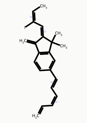 C=C/C=C\C=C\c1ccc2c(c1)C(C)(C)/C(=C/C(I)=C\C)C2=C